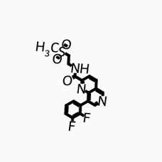 CS(=O)(=O)CCNC(=O)c1ccc2cncc(-c3cccc(F)c3F)c2n1